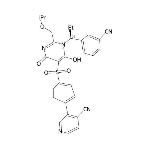 CC[C@@H](c1cccc(C#N)c1)n1c(COC(C)C)nc(=O)c(S(=O)(=O)c2ccc(-c3cnccc3C#N)cc2)c1O